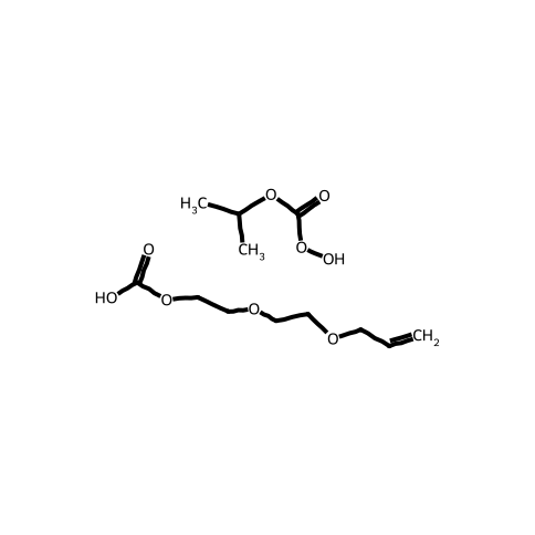 C=CCOCCOCCOC(=O)O.CC(C)OC(=O)OO